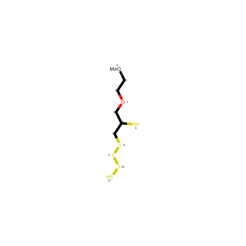 COCCOCC(S)CSSSS